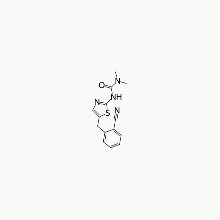 CN(C)C(=O)Nc1ncc(Cc2ccccc2C#N)s1